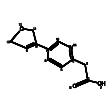 O=C(O)Cc1ccc(C2=CCOC2)cn1